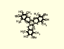 CCc1c(C)c(C(C)(C)C)c(O)c(C)c1Cn1c(=O)n(Cc2c(C)c(O)c(C(C)(C)C)c(C)c2CC)c(=O)n(Cc2c(C)c(O)c(C(C)(C)C)c(C)c2CC)c1=O